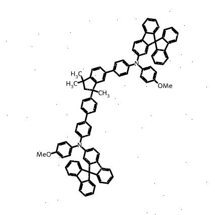 COc1ccc(N(c2ccc(-c3ccc(C4(C)CC(C)(C)c5ccc(-c6ccc(N(c7ccc(OC)cc7)c7ccc8c(c7)C7(c9ccccc9-c9ccccc97)c7ccccc7-8)cc6)cc54)cc3)cc2)c2ccc3c(c2)C2(c4ccccc4-c4ccccc42)c2ccccc2-3)cc1